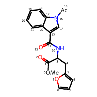 COC(=O)C(Cc1ccco1)NC(=O)c1cn(C(C)=O)c2ccccc12